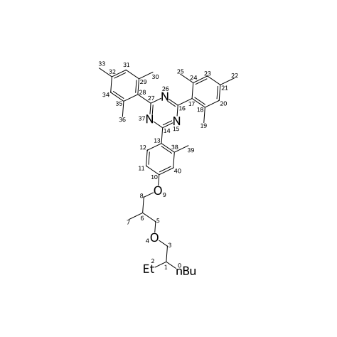 CCCCC(CC)COCC(C)COc1ccc(-c2nc(-c3c(C)cc(C)cc3C)nc(-c3c(C)cc(C)cc3C)n2)c(C)c1